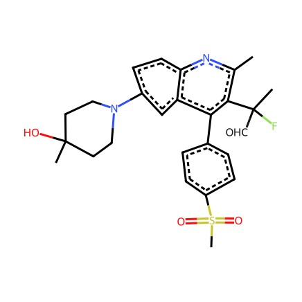 Cc1nc2ccc(N3CCC(C)(O)CC3)cc2c(-c2ccc(S(C)(=O)=O)cc2)c1C(C)(F)C=O